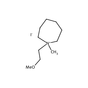 COCC[N+]1(C)CCCCCC1.[I-]